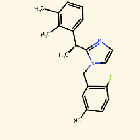 Cc1cccc([C@H](C)c2nccn2Cc2cc(C#N)ccc2F)c1C